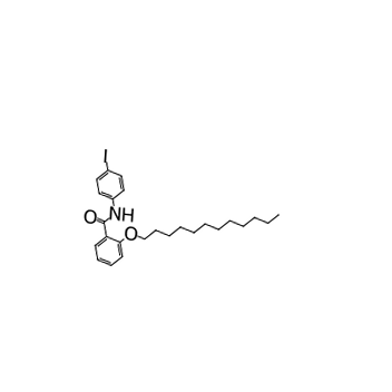 CCCCCCCCCCCCOc1ccccc1C(=O)Nc1ccc(I)cc1